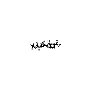 COC(=O)c1ccc2nc(-c3cc(NC(=O)OC(C)(C)C)cn3C)[nH]c2n1